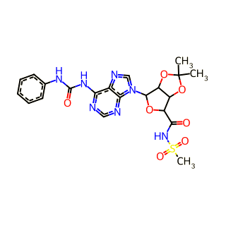 CC1(C)OC2C(C(=O)NS(C)(=O)=O)OC(n3cnc4c(NC(=O)Nc5ccccc5)ncnc43)C2O1